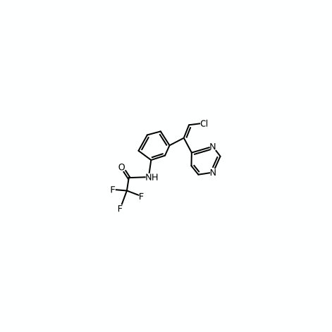 O=C(Nc1cccc(C(=CCl)c2ccncn2)c1)C(F)(F)F